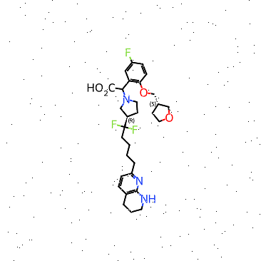 O=C(O)C(c1cc(F)ccc1OC[C@H]1CCOC1)N1CC[C@@H](C(F)(F)CCCCc2ccc3c(n2)NCCC3)C1